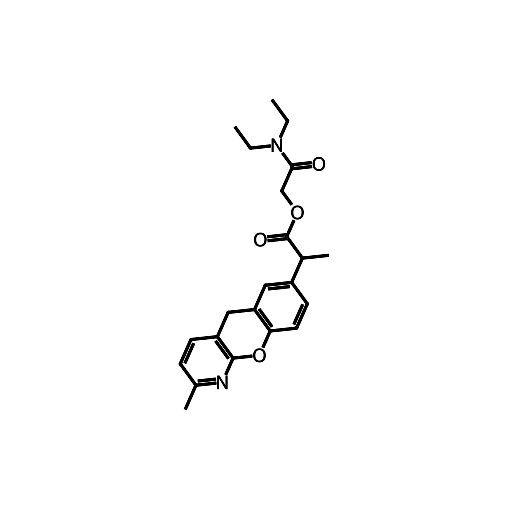 CCN(CC)C(=O)COC(=O)C(C)c1ccc2c(c1)Cc1ccc(C)nc1O2